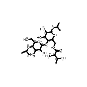 CC(C)OC1OC(COC(=O)C(N)C(C)O)C(OC2OC(CO)C(OC(C)C)C(O)C2O)C(O)C1O